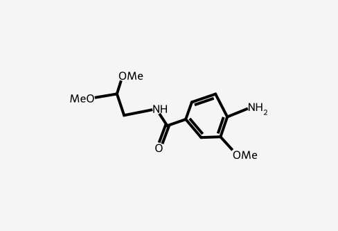 COc1cc(C(=O)NCC(OC)OC)ccc1N